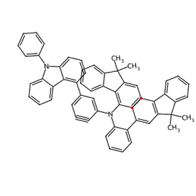 CC1(C)C2=C(CCC(c3ccccc3N(c3c#ccc(-c4cccc5c4c4ccccc4n5-c4ccccc4)c3)c3cccc4c3-c3ccccc3C4(C)C)=C2)c2ccccc21